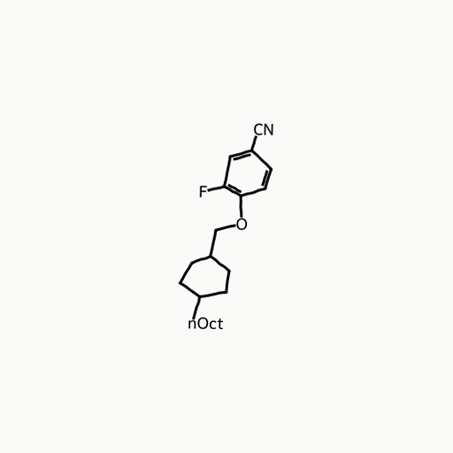 CCCCCCCCC1CCC(COc2ccc(C#N)cc2F)CC1